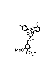 COc1cc(CNC(=O)CN(c2cccc(Cl)c2C)S(=O)(=O)c2ccc(C)cc2)ccc1C(=O)O